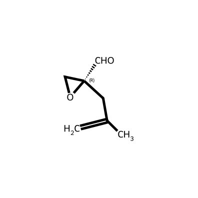 C=C(C)C[C@]1(C=O)CO1